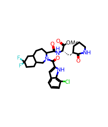 COC(=O)[C@H](C[C@@H]1CCCNC1=O)NC(=O)C1CCC2CC(F)(F)CCC2CN1C(=O)c1cc2cccc(Cl)c2[nH]1